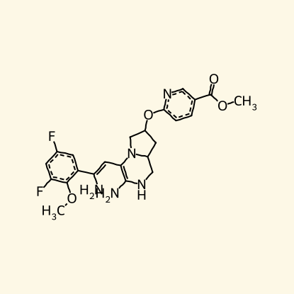 COC(=O)c1ccc(OC2CC3CNC(N)=C(/C=C(\N)c4cc(F)cc(F)c4OC)N3C2)nc1